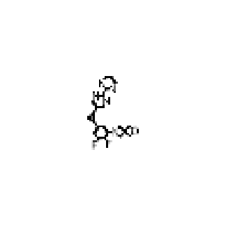 Fc1cc(C2CC2c2cnc(-c3ncccn3)nc2)cc(N2CC3(COC3)C2)c1F